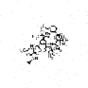 CCC[C@H](NC(=O)[C@@H]1C[C@@]2(CN1C(=O)[C@@H](NC(=O)[C@@H](NC(=O)[C@H]1CCCN(CC)C1)C(C)(C)C)C(C)(C)C)C(C)(C)C21CCC1)C(=O)C(=O)NC1CC1